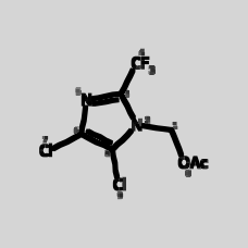 CC(=O)OCn1c(C(F)(F)F)nc(Cl)c1Cl